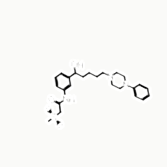 CS(=O)(=O)CC(=O)Nc1cccc(C(O)CCCCN2CCN(c3ccccc3)CC2)c1